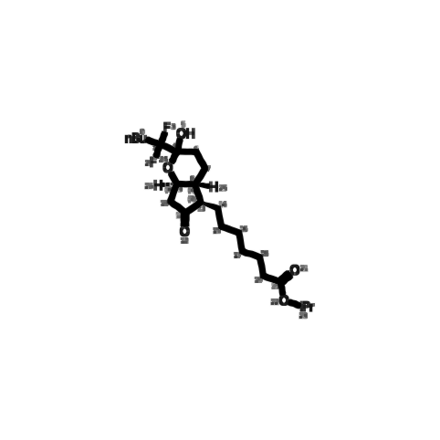 CCCCC(F)(F)C1(O)CC[C@H]2[C@@H](CC(=O)[C@@H]2CCCCCCC(=O)OC(C)C)O1